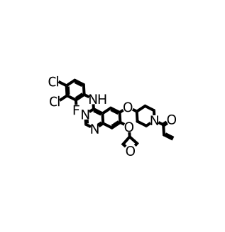 C=CC(=O)N1CCC(Oc2cc3c(Nc4ccc(Cl)c(Cl)c4F)ncnc3cc2OC2COC2)CC1